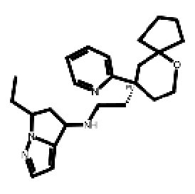 CCC1CC(NCC[C@@]2(c3ccccn3)CCOC3(CCCC3)C2)c2ccnn21